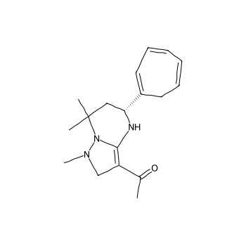 CC(=O)C1=C2N[C@@H](C3=CC=CC=CC3)CC(C)(C)N2N(C)C1